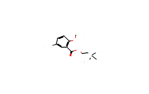 C[Si](C)(C)CCOC(=O)c1cc([N+](=O)[O-])ccc1OC(=O)O